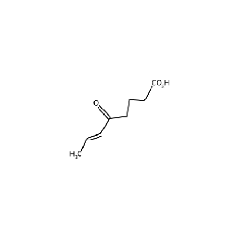 CC=CC(=O)CCCC(=O)O